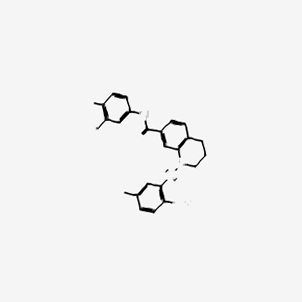 COc1ccc(C)cc1S(=O)(=O)N1CCCc2ccc(C(=O)Nc3ccc(C(=O)O)c(Cl)c3)cc21